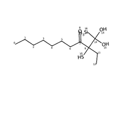 CCCCCCCC(=O)C(S)(CC)C(O)(O)[SiH3]